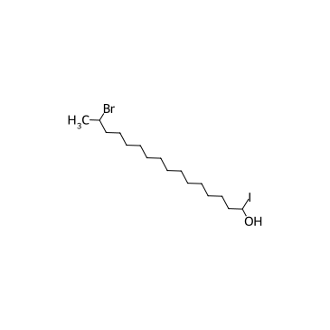 CC(Br)CCCCCCCCCCCCCC(O)I